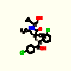 C=CC[C@@](C)(C[C@H](c1cccc(Cl)c1)[C@@H](O)c1ccc(Cl)cc1)C(=O)N[C@H](CO)C1CC1